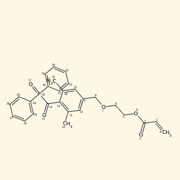 C=CC(=O)OCCOCc1cc(C)c(C(=O)P(=O)(c2ccccc2)c2ccccc2)c(C)c1